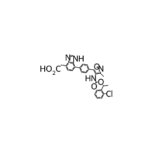 Cc1noc(-c2ccc(-c3ccc(CC(=O)O)c4nc[nH]c34)cc2)c1NC(=O)OC(C)c1ccccc1Cl